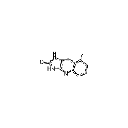 Cc1cccc2nc3[nH]c(=O)[nH]c3cc12